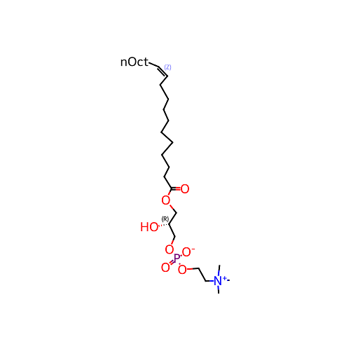 CCCCCCCC/C=C\CCCCCCCCCC(=O)OC[C@@H](O)COP(=O)([O-])OCC[N+](C)(C)C